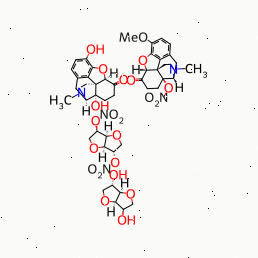 CN1CC[C@]23c4c5ccc(O)c4O[C@H]2C(=O)CC[C@@]3(O)[C@H]1C5.COc1ccc2c3c1O[C@H]1C(=O)CC[C@@]4(O[N+](=O)[O-])[C@@H](C2)N(C)CC[C@]314.O=[N+]([O-])O[C@H]1CO[C@H]2[C@@H]1OC[C@H]2O[N+](=O)[O-].O[C@@H]1CO[C@H]2[C@@H]1OC[C@@H]2O